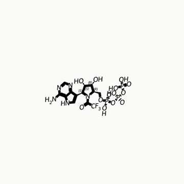 Nc1ncnc2c([C@H]3[C@H](O)[C@H](O)[C@@H](COP(=O)(O)OP(=O)(O)OP(=O)(O)O)N3C(=O)C(F)(F)F)c[nH]c12